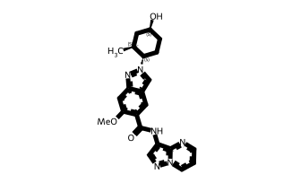 COc1cc2nn([C@H]3CC[C@H](O)C[C@@H]3C)cc2cc1C(=O)Nc1cnn2cccnc12